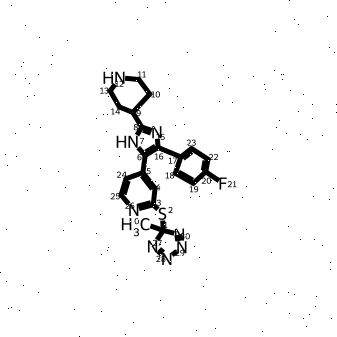 CC1(Sc2cc(-c3[nH]c(C4CCNCC4)nc3-c3ccc(F)cc3)ccn2)N=NN=N1